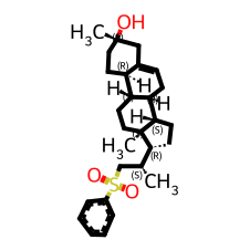 C[C@H](CS(=O)(=O)c1ccccc1)[C@H]1CC[C@H]2[C@@H]3CC=C4C[C@@](C)(O)CC[C@@H]4[C@H]3CC[C@]12C